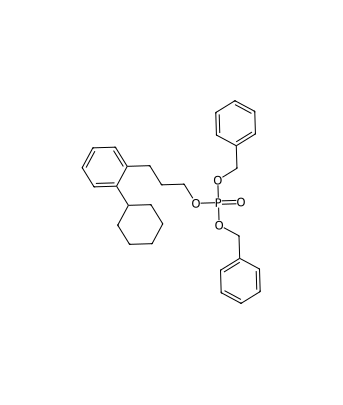 O=P(OCCCc1ccccc1C1CCCCC1)(OCc1ccccc1)OCc1ccccc1